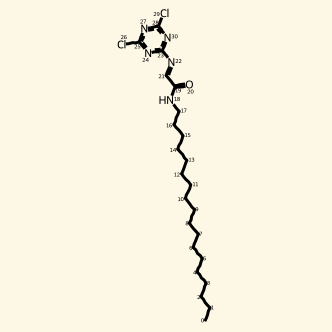 CCCCCCCCCCCCCCCCCCNC(=O)/C=N/c1nc(Cl)nc(Cl)n1